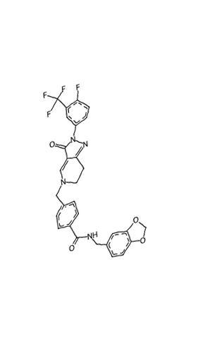 O=C(NCc1ccc2c(c1)OCO2)c1ccc(CN2C=C3C(=O)N(c4ccc(F)c(C(F)(F)F)c4)N=C3CC2)cc1